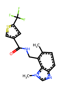 Cc1ccc2ncn(C)c2c1CNC(=O)c1csc(C(F)(F)F)c1